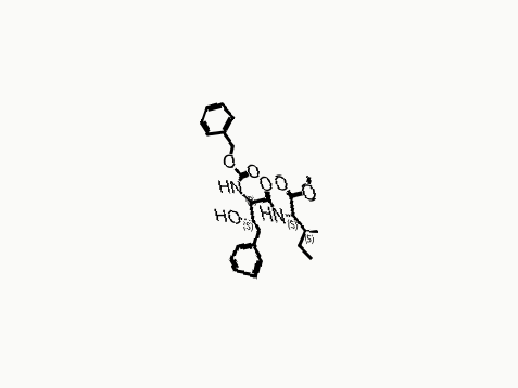 CC[C@H](C)[C@H](NC(=O)[C@H](NC(=O)OCc1ccccc1)[C@@H](O)Cc1ccccc1)C(=O)OC